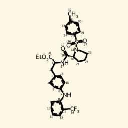 CCOC(=O)[C@H](Cc1ccc(Nc2ccccc2C(F)(F)F)cc1)NC(=O)[C@@H]1CCCN1S(=O)(=O)c1ccc(C)cc1